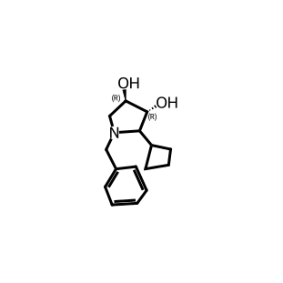 O[C@@H]1CN(Cc2ccccc2)C(C2CCC2)[C@H]1O